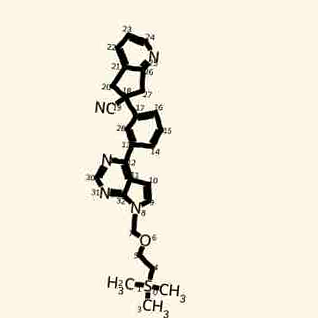 CS(C)(C)CCOCn1ccc2c(-c3cccc(C4(C#N)Cc5cccnc5C4)c3)ncnc21